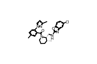 Cc1ccc(-n2ccc(C)n2)c(C(=O)N2CCC[C@@H](C)[C@H]2CNc2nc3cc(Cl)ccc3o2)c1